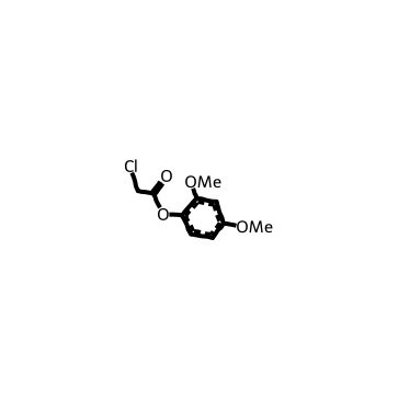 COc1ccc(OC(=O)CCl)c(OC)c1